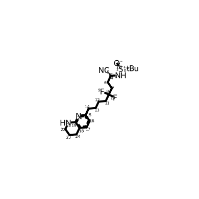 CC(C)(C)[S@@+]([O-])N[C@@H](C#N)CCC(F)(F)CCCCc1ccc2c(n1)NCCC2